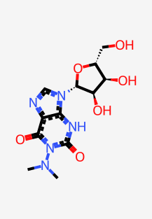 CN(C)n1c(=O)[nH]c2c(ncn2[C@@H]2O[C@H](CO)[C@@H](O)[C@H]2O)c1=O